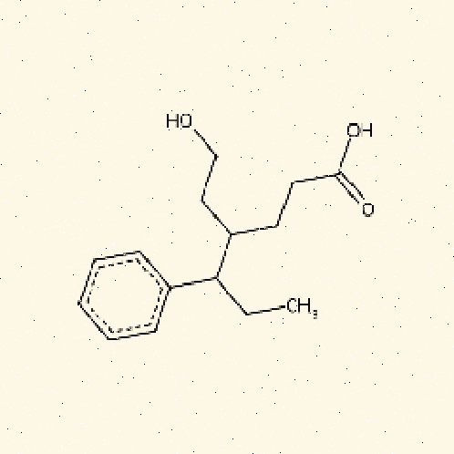 CCC(c1ccccc1)C(CCO)CCC(=O)O